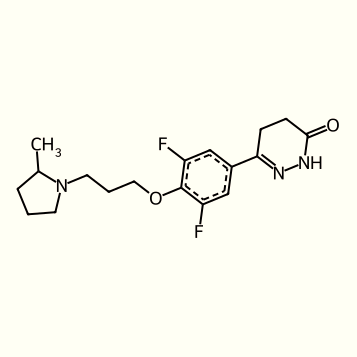 CC1CCCN1CCCOc1c(F)cc(C2=NNC(=O)CC2)cc1F